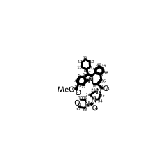 COC(=O)c1ccc2c(C3CCCCC3)c3n(c2c1)CC(C(=O)N1CCN(C(=O)N2CCOCC2)CC1)=Cc1ccccc1-3